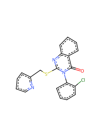 O=c1c2ccccc2nc(SCc2ccccn2)n1-c1ccccc1Cl